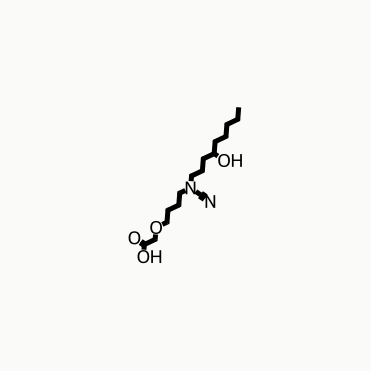 CCCCCC(O)CCCN(C#N)CCCCOCC(=O)O